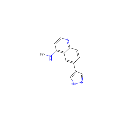 CC(C)Nc1ccnc2ccc(-c3cn[nH]c3)cc12